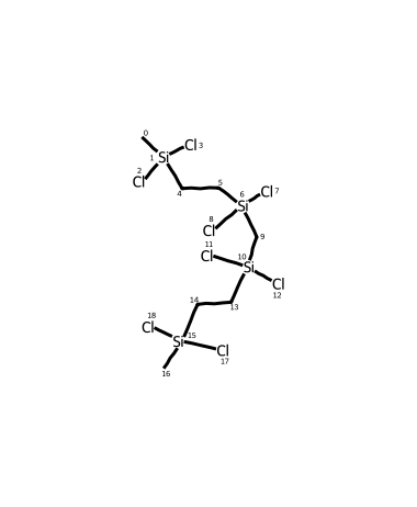 C[Si](Cl)(Cl)CC[Si](Cl)(Cl)C[Si](Cl)(Cl)CC[Si](C)(Cl)Cl